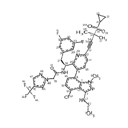 CSNc1nn(C)c2c(-c3ccc(C#CC(C)(C)S(=O)(=O)C4CC4)nc3[C@H](Cc3cc(F)cc(F)c3)NC(=O)Cn3cc(C(F)(F)F)cn3)ccc(Cl)c12